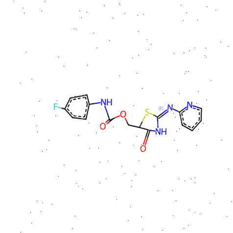 O=C(Nc1ccc(F)cc1)OCC1S/C(=N/c2ccccn2)NC1=O